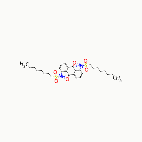 CCCCCCCCS(=O)(=O)Nc1cccc2c1C(=O)c1cccc(NS(=O)(=O)CCCCCCCC)c1C2=O